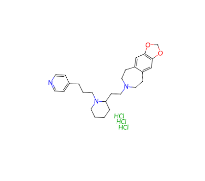 Cl.Cl.Cl.c1cc(CCCN2CCCCC2CCN2CCc3cc4c(cc3CC2)OCO4)ccn1